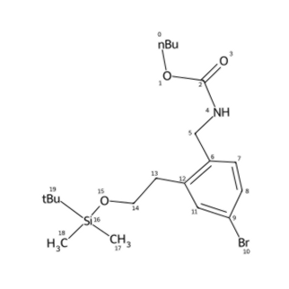 CCCCOC(=O)NCc1ccc(Br)cc1CCO[Si](C)(C)C(C)(C)C